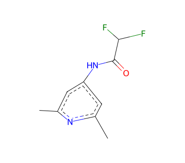 Cc1cc(NC(=O)C(F)F)cc(C)n1